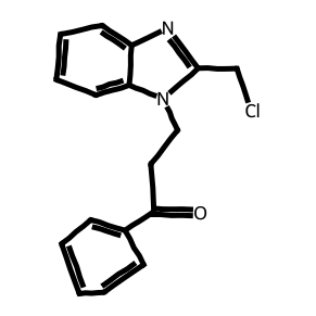 O=C(CCn1c(CCl)nc2ccccc21)c1ccccc1